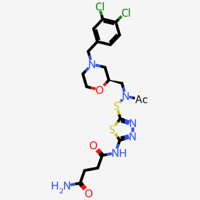 CC(=O)N(C[C@@H]1CN(Cc2ccc(Cl)c(Cl)c2)CCO1)Sc1nnc(NC(=O)CCC(N)=O)s1